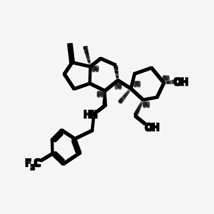 C=C1CCC2[C@H](CNCc3ccc(C(F)(F)F)cc3)[C@@H]([C@@]3(C)CC[C@H](O)C[C@@H]3CO)CC[C@]12C